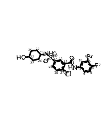 O=C(Nc1ccc(F)c(Br)c1)c1cc(S(=O)(=O)NC2CCC(O)CC2)ccc1Cl